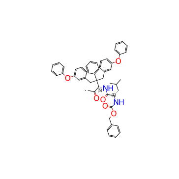 [CH2]C(=O)[C@@H](NC(=O)[C@H](CC(C)C)NC(=O)OCc1ccccc1)C(Cc1cccc(Oc2ccccc2)c1)(Cc1cccc(Oc2ccccc2)c1)c1ccccc1